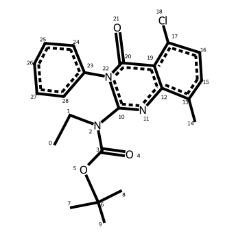 CCN(C(=O)OC(C)(C)C)c1nc2c(C)ccc(Cl)c2c(=O)n1-c1ccccc1